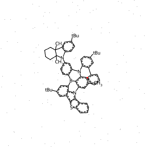 Cc1cc2c3c(c1)-n1c4c(cc(C(C)(C)C)cc4c4sc5ccccc5c41)B3c1ccc(N3c4ccc(C(C)(C)C)cc4C4(C)CCCCC34C)cc1N2c1ccc(C(C)(C)C)cc1-c1ccccc1